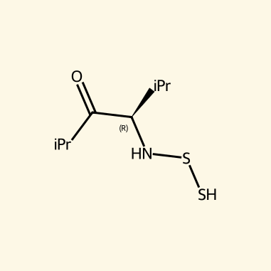 CC(C)C(=O)[C@H](NSS)C(C)C